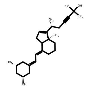 C[C@H](CC#CC(O)(C(F)(F)F)C(F)(F)F)C1=CCC2/C(=C/C=C3C[C@@H](O)C[C@H](O)C3)CCC[C@]12C